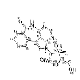 COC(n1cc2c3c(ncnc31)NC(=O)c1ccccc1-2)[C@](C)(O)[C@H](O)CO